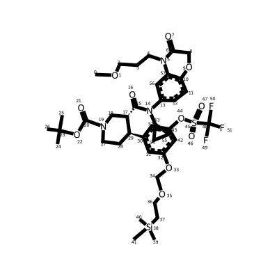 COCCCN1C(=O)COc2ccc(N(C(=O)[C@H]3CN(C(=O)OC(C)(C)C)CC[C@@H]3c3cc(OCOCC[Si](C)(C)C)cc(OS(=O)(=O)C(F)(F)F)c3)C3CC3)cc21